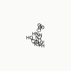 [2H]C(F)(F)c1cc2cnc(NC3CCN(S(C)(=O)=O)CC3)nc2n([C@H]2C[C@H](O)CC[C@@H]2F)c1=O